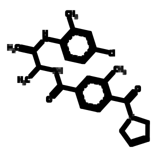 C=C(Nc1ccc(Cl)cc1C)C(C)NC(=O)c1ccc(C(=O)N2CC=CC2)c(C)c1